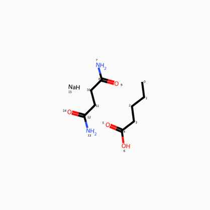 CCCCC(=O)O.NC(=O)CCC(N)=O.[NaH]